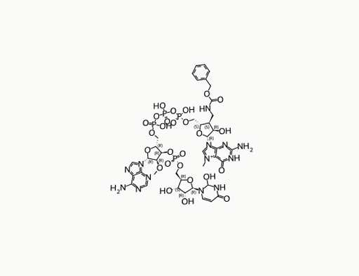 CO[C@@H]1[C@H](OP(=O)([O-])OC[C@H]2O[C@@H](N3C=CC(=O)NC3O)[C@H](O)[C@@H]2O)[C@@H](COP(=O)(O)OP(=O)(O)OP(=O)(O)OC[C@H]2O[C@@H](n3c[n+](C)c4c(=O)[nH]c(N)nc43)[C@H](O)[C@@H]2CNC(=O)OCc2ccccc2)O[C@H]1n1cnc2c(N)ncnc21